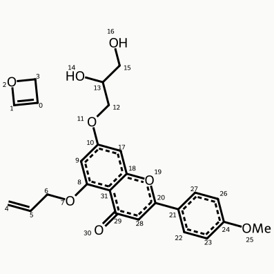 C1=COC1.C=CCOc1cc(OCC(O)CO)cc2oc(-c3ccc(OC)cc3)cc(=O)c12